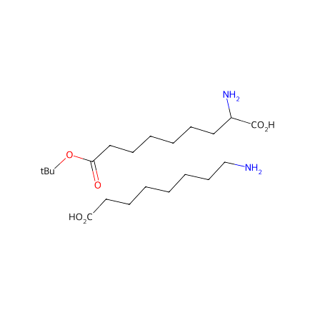 CC(C)(C)OC(=O)CCCCCCC(N)C(=O)O.NCCCCCCCC(=O)O